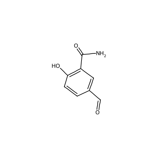 NC(=O)c1cc(C=O)ccc1O